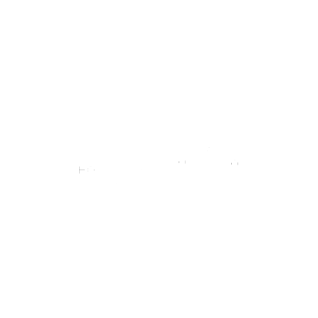 O=C1Cc2ccccc2O1.Oc1ccccc1